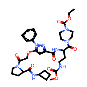 CCOC(=O)N1CCN(C(=O)C(CCNC(=O)OC)NC(=O)c2cc(OCC(=O)N3CCCC3C(=O)NC3CCC3)n(-c3ccccc3)n2)CC1